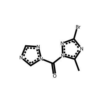 Cc1nc(Br)nn1C(=O)n1cncn1